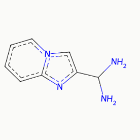 NC(N)c1cn2ccccc2n1